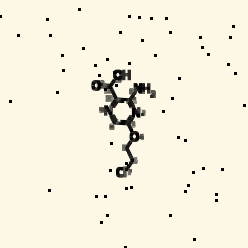 Nc1nc(OCCCl)cnc1C(=O)O